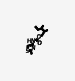 CCC(C)C(C)COC(=O)Nc1csc(C)n1